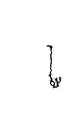 Cc1cc(=O)n(C2CCC(=O)NC2=O)c2cc(OCC(=O)NCCCOCCOCCOCCCNC(=O)OC(C)(C)C)ccc12